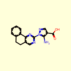 Nc1c(C(=O)O)cnn1-c1ncc2c(n1)-c1ccccc1CC2